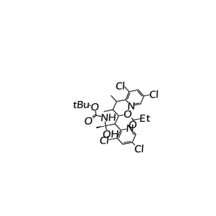 CCC(=O)OC(C(C)C(C)c1ncc(Cl)cc1Cl)C(c1ncc(Cl)cc1Cl)[C@](C)(O)NC(=O)OC(C)(C)C